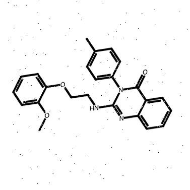 COc1ccccc1OCCNc1nc2ccccc2c(=O)n1-c1ccc(C)cc1